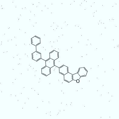 c1ccc(-c2cccc(-c3c4ccccc4c(-c4ccc5c(ccc6oc7ccccc7c65)c4)c4ccccc34)c2)cc1